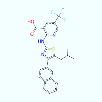 CC(C)Cc1sc(Nc2ncc(C(F)(F)F)cc2C(=O)O)nc1-c1ccc2ccccc2c1